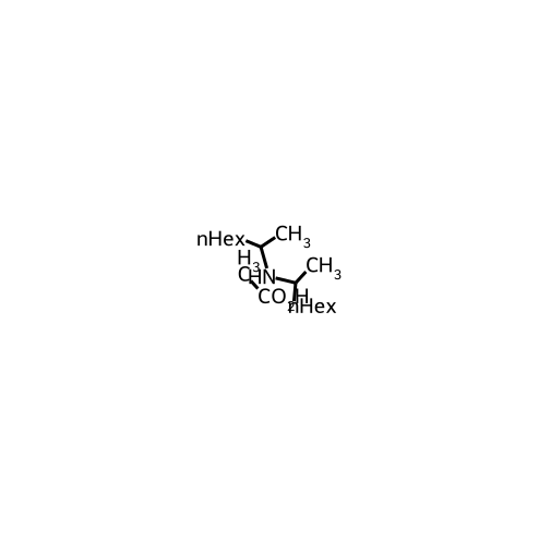 CC(=O)O.CCCCCCC(C)NC(C)CCCCCC